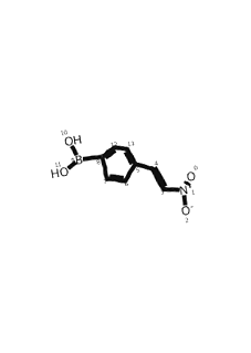 O=[N+]([O-])C=Cc1ccc(B(O)O)cc1